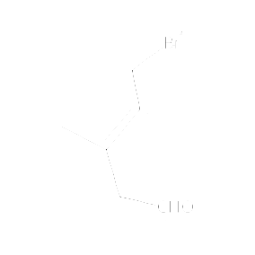 CC(=CCBr)CC=O